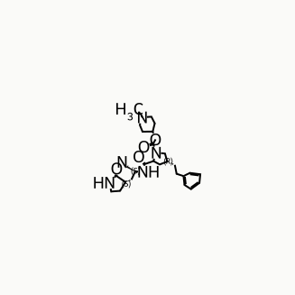 CN1CCC(OC(=O)N2C[C@H](CCc3ccccc3)CC2C(=O)N[C@H](C#N)C[C@@H]2CCNC2=O)CC1